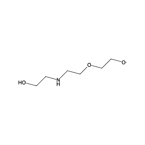 [O]CCOCCNCCO